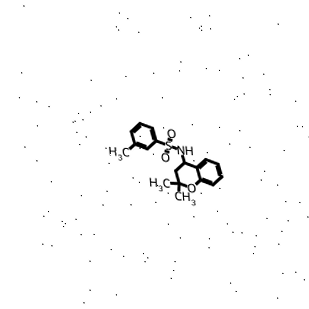 Cc1cccc(S(=O)(=O)NC2CC(C)(C)Oc3ccccc32)c1